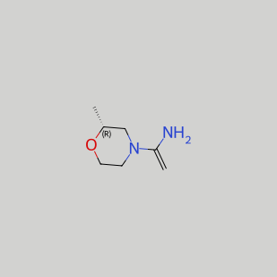 C=C(N)N1CCO[C@H](C)C1